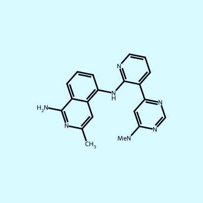 CNc1cc(-c2cccnc2Nc2cccc3c(N)nc(C)cc23)ncn1